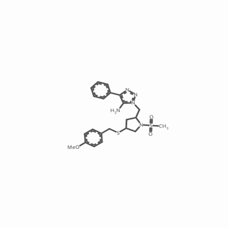 COc1ccc(CSC2CC(Cn3nnc(-c4ccccc4)c3N)N(S(C)(=O)=O)C2)cc1